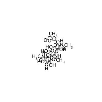 CC(=O)N[C@@H]1[C@H](O[C@H]2[C@H](O)[C@@H](NC(C)=O)[C@H](O[C@H]3[C@H](O)[C@@H](NC(C)=O)[C@H](Oc4ccc5c(C)cc(=O)oc5c4)O[C@H]3CO)O[C@H]2CO)O[C@@H](CO)[C@H](O)[C@H]1O